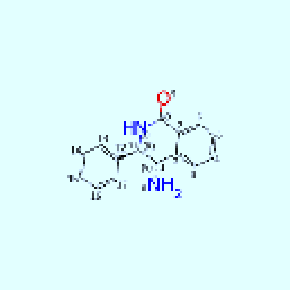 N[C@H]1c2ccccc2C(=O)N[C@@H]1c1ccccc1